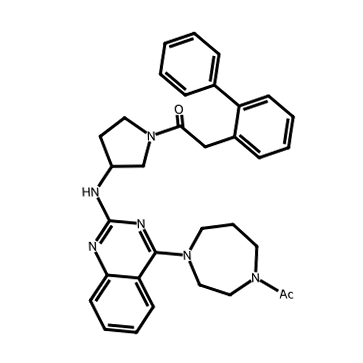 CC(=O)N1CCCN(c2nc(NC3CCN(C(=O)Cc4ccccc4-c4ccccc4)C3)nc3ccccc23)CC1